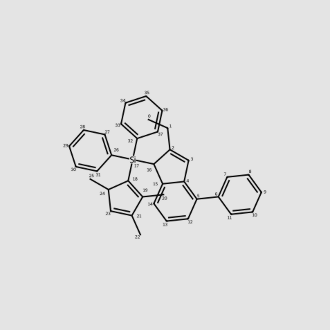 CCC1=Cc2c(-c3ccccc3)cccc2C1[Si](C1=C(C)C(C)=CC1C)(c1ccccc1)c1ccccc1